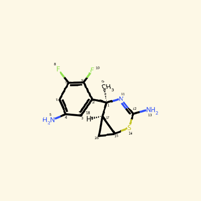 C[C@]1(c2cc(N)cc(F)c2F)N=C(N)SC2C[C@H]21